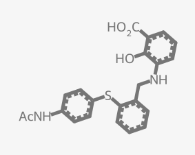 CC(=O)Nc1ccc(Sc2ccccc2CNc2cccc(C(=O)O)c2O)cc1